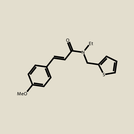 CCN(Cc1cccs1)C(=O)C=Cc1ccc(OC)cc1